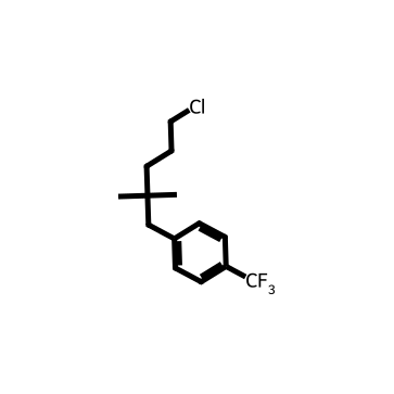 CC(C)(CCCCl)Cc1ccc(C(F)(F)F)cc1